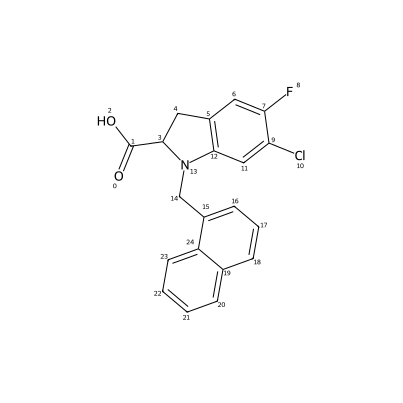 O=C(O)C1Cc2cc(F)c(Cl)cc2N1Cc1cccc2ccccc12